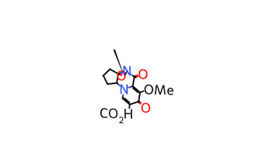 COc1c2n(cc(C(=O)O)c1=O)C1CCCC13O[C@@H](C)CN3C2=O